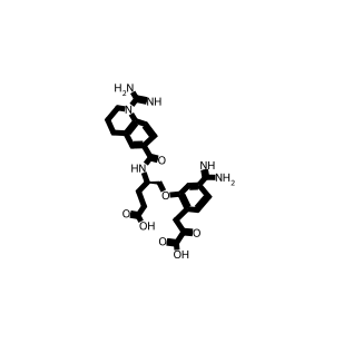 N=C(N)c1ccc(CC(=O)C(=O)O)c(OC[C@@H](CCC(=O)O)NC(=O)c2ccc3c(c2)CCCN3C(=N)N)c1